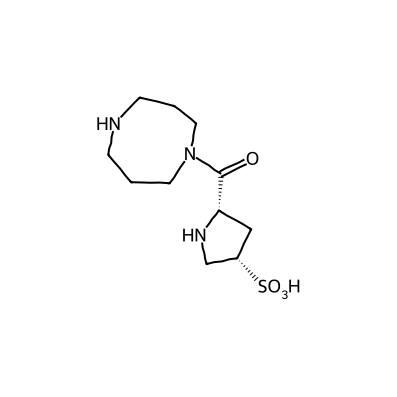 O=C([C@@H]1C[C@H](S(=O)(=O)O)CN1)N1CCCNCCC1